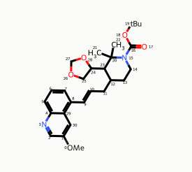 COc1cnc2cccc(C=CCC3CCN(C(=O)OC(C)(C)C)C(C)(C)C3C3COCO3)c2c1